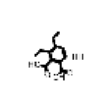 CCc1ccc(C(=O)O)c(C(=O)O)c1CC.[HH]